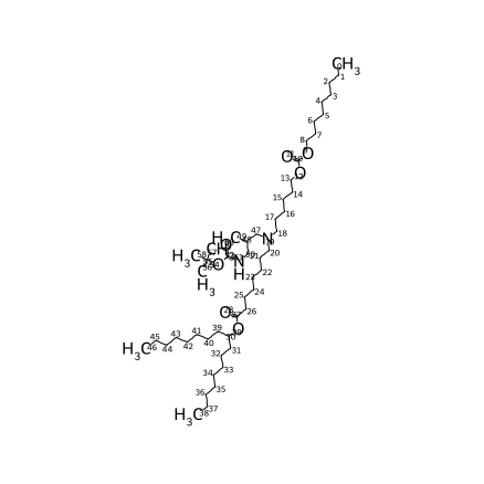 CCCCCCCCCOC(=O)OCCCCCCN(CCCCCCCC(=O)OC(CCCCCCCC)CCCCCCCC)CC(C)CNC(=O)OC(C)(C)C